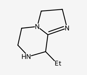 CCC1NCCN2CCN=C12